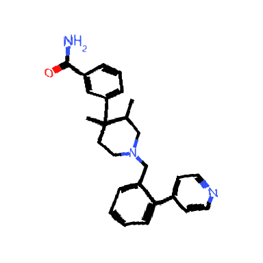 CC1CN(Cc2ccccc2-c2ccncc2)CCC1(C)c1cccc(C(N)=O)c1